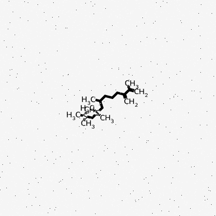 C=C(C)C(=C)CCCC(C)CS(C)(C)CS(C)(C)C